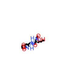 CCCCC[C@H](CN(O)C=O)C(=O)NNCc1cnc2c(c1)OCCO2